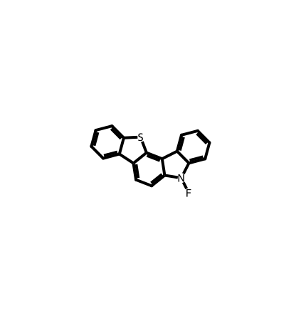 Fn1c2ccccc2c2c3sc4ccccc4c3ccc21